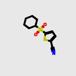 N#Cc1ccc(S(=O)(=O)C2CCCCC2)s1